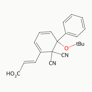 CC(C)(C)OC1(c2ccccc2)C=CC=C(C=CC(=O)O)C1(C#N)C#N